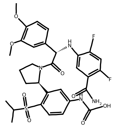 COc1ccc([C@H](Nc2cc(C(N)=O)c(F)cc2F)C(=O)N2CCC[C@@H]2c2cc(NC(=O)O)ccc2S(=O)(=O)C(C)C)cc1OC